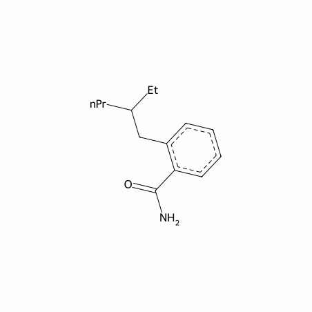 CCCC(CC)Cc1ccccc1C(N)=O